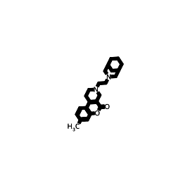 Cc1ccc2c3c(c(=O)oc2c1)CN(CCN1CC2CCCC(C2)C1)CC3